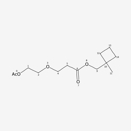 CC(=O)OCCOCCC(=O)OCC1(C)CCC1